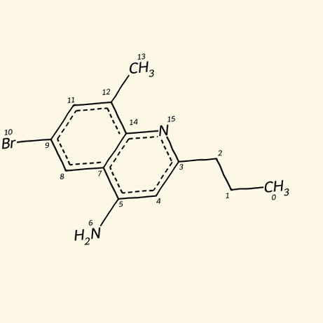 CCCc1cc(N)c2cc(Br)cc(C)c2n1